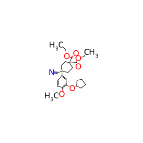 CCOC(=O)C1(C(=O)OCC)CCC(C#N)(c2ccc(OC)c(OC3CCCC3)c2)CC1